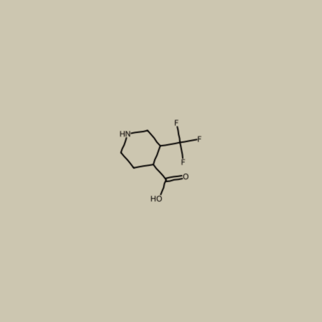 O=C(O)C1CCNCC1C(F)(F)F